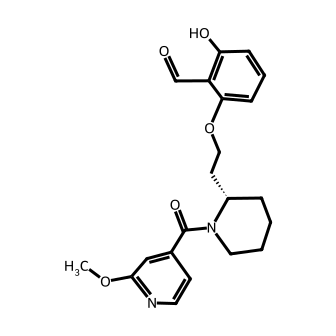 COc1cc(C(=O)N2CCCC[C@H]2CCOc2cccc(O)c2C=O)ccn1